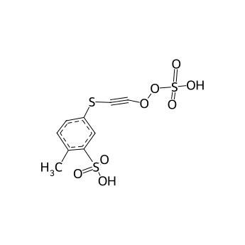 Cc1ccc(SC#COOS(=O)(=O)O)cc1S(=O)(=O)O